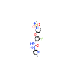 Cc1ccc(NC(=O)Nc2cc(F)cc(OC3CCCN(S(=O)(=O)N(C)C)C3)c2)cn1